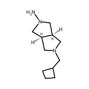 NN1C[C@@H]2CN(CC3CCC3)C[C@@H]2C1